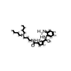 CCCCN(CCCC)CCCNC(=O)c1ccc(C(=O)Nc2ccccc2N)s1